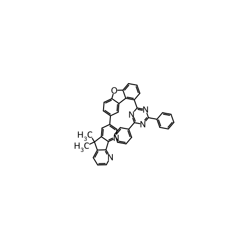 CC1(C)c2cccnc2-c2ncc(-c3ccc4oc5cccc(-c6nc(-c7ccccc7)nc(-c7ccccc7)n6)c5c4c3)cc21